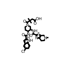 CN1CCc2nc(C(=O)NC3CN(C(=O)C(C)(C)CC(=O)O)CCC3NC(=O)c3cc4cc(Cl)ccc4[nH]3)sc2C1